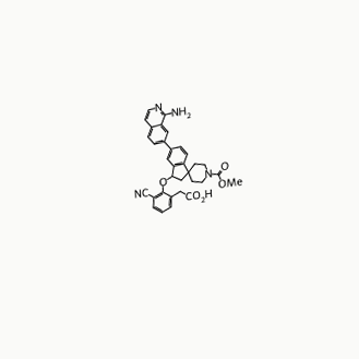 COC(=O)N1CCC2(CC1)CC(Oc1c(C#N)cccc1CC(=O)O)c1cc(-c3ccc4ccnc(N)c4c3)ccc12